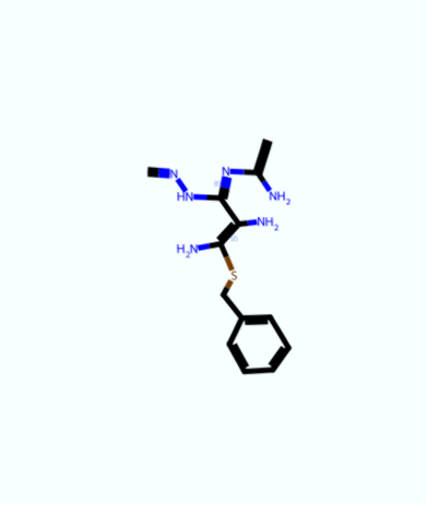 C=NNC(=N/C(=C)N)/C(N)=C(\N)SCc1ccccc1